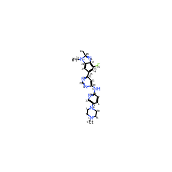 CCN1CCN(c2ccc(Nc3cc(-c4cc(F)c5nc(C)n(C(C)C)c5c4)ncn3)nc2)CC1